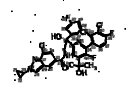 CC(C)(O)c1cc([C@@](O)(CNC(=O)c2cc(Cl)c3nn(C4CC4)cc3c2)c2cccc(F)c2)nc(-c2ccc(F)c(Cl)c2Cl)c1F